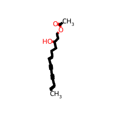 CC=CC#CC#CC=CCCC(O)CCOC(C)=O